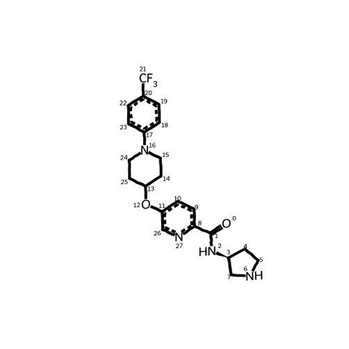 O=C(N[C@H]1CCNC1)c1ccc(OC2CCN(c3ccc(C(F)(F)F)cc3)CC2)cn1